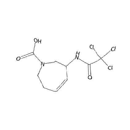 O=C(O)N1CCC=CC(NC(=O)C(Cl)(Cl)Cl)C1